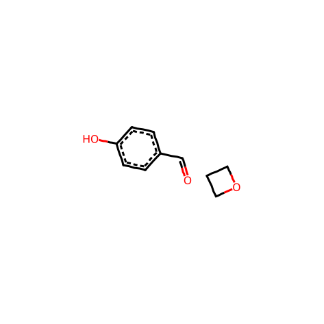 C1COC1.O=Cc1ccc(O)cc1